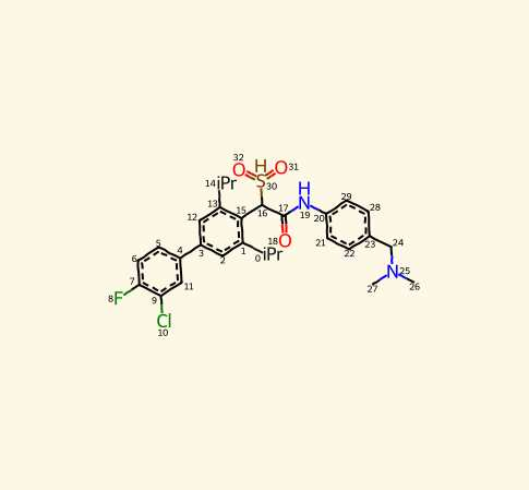 CC(C)c1cc(-c2ccc(F)c(Cl)c2)cc(C(C)C)c1C(C(=O)Nc1ccc(CN(C)C)cc1)[SH](=O)=O